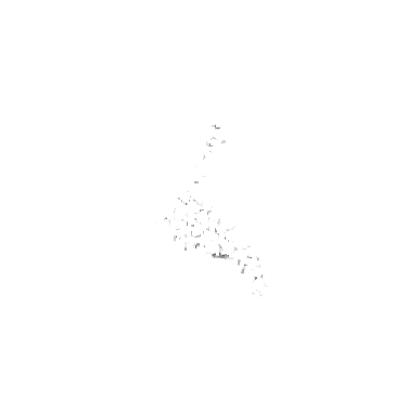 CCNc1ccc(C(OC(=O)N(C)[C@H](C(=O)N[C@H](C(=O)N(C)[C@@H]([C@@H](C)CC)[C@@H](CC(=O)N2CCC[C@H]2[C@H](OC)[C@@H](C)C(=O)N[C@H](C)[C@@H](O)c2ccccc2)OC)C(C)C)C(C)C)C(=O)N(C)CCOCCOCCNC(=O)OC(C)(C)C)cc1